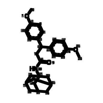 COc1ccc(C(CC(=O)NC23CC4CC(CC(C4)C2)C3)c2ccc(OC)cc2)cc1